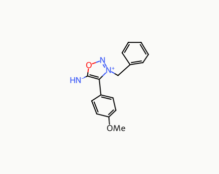 COc1ccc(-c2c([NH-])on[n+]2Cc2ccccc2)cc1